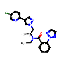 CCN(C(=O)c1ccccc1-n1nccn1)[C@@H](C)Cn1cc(-c2ccc(F)cn2)cn1